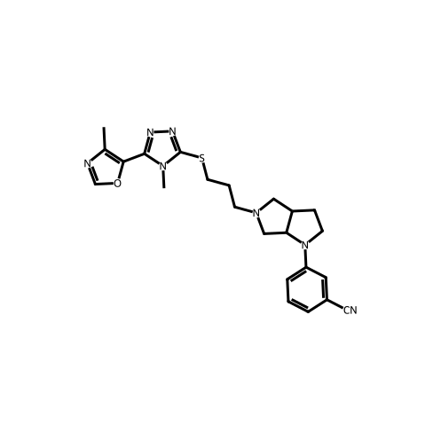 Cc1ncoc1-c1nnc(SCCCN2CC3CCN(c4cccc(C#N)c4)C3C2)n1C